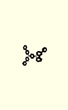 c1ccc(-c2ccc(N(c3ccc(-c4ccccc4)cc3)c3ccc(-n4c5ccccc5c5cc(-c6ccccc6)ccc54)cc3)cc2)cc1